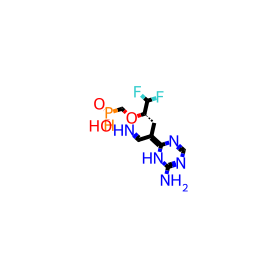 N=C/C(C[C@H](OC[PH](=O)O)C(F)F)=C1/N=CN=C(N)N1